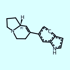 C1=C(c2ccc3cc[nH]c3c2)CCN2CCC[C@H]12